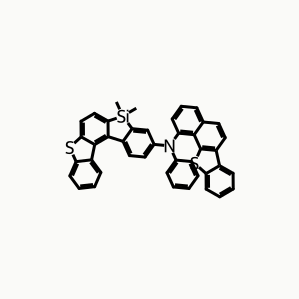 C[Si]1(C)c2cc(N(c3ccccc3)c3cccc4ccc5c6ccccc6sc5c34)ccc2-c2c1ccc1sc3ccccc3c21